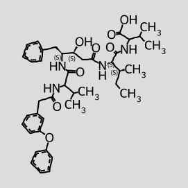 CC[C@H](C)[C@H](NC(=O)C[C@H](O)[C@H](Cc1ccccc1)NC(=O)C(NC(=O)Cc1cccc(Oc2ccccc2)c1)C(C)C)C(=O)NC(C(=O)O)C(C)C